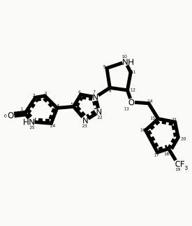 O=c1ccc(-c2cn(C3CNCC3OCc3ccc(C(F)(F)F)cc3)nn2)c[nH]1